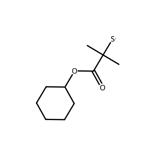 CC(C)([S])C(=O)OC1CCCCC1